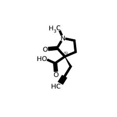 C#CC[C@]1(C(=O)O)CCN(C)C1=O